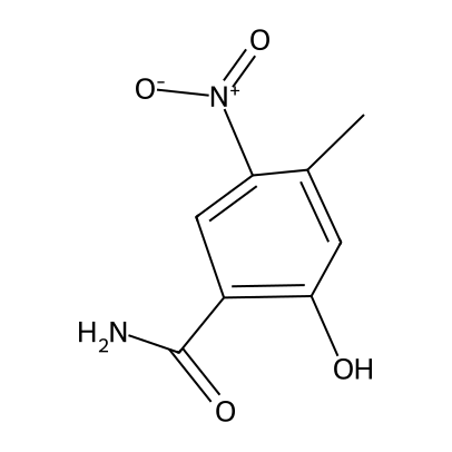 Cc1cc(O)c(C(N)=O)cc1[N+](=O)[O-]